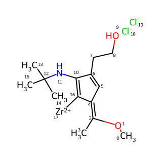 COC(C)=C1C=C(CCO)C(NC(C)(C)C)=[C]1[Zr+2].[Cl-].[Cl-]